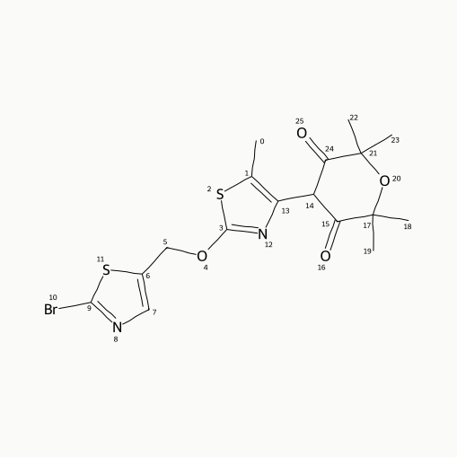 Cc1sc(OCc2cnc(Br)s2)nc1C1C(=O)C(C)(C)OC(C)(C)C1=O